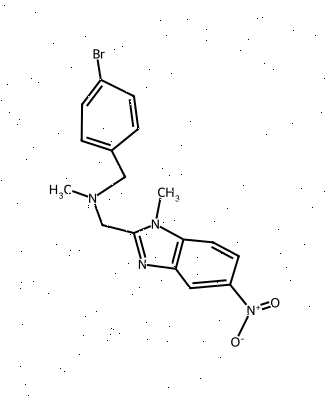 CN(Cc1ccc(Br)cc1)Cc1nc2cc([N+](=O)[O-])ccc2n1C